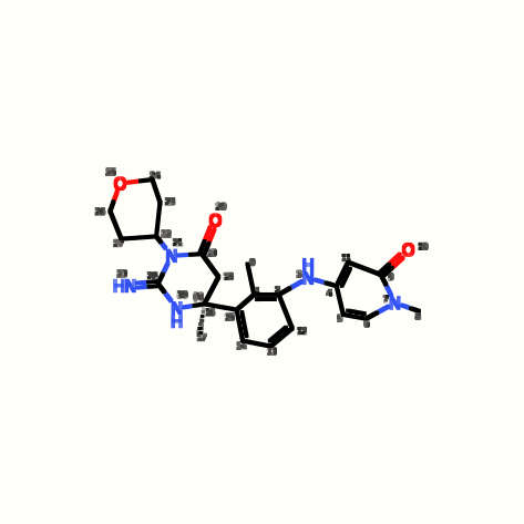 Cc1c(Nc2ccn(C)c(=O)c2)cccc1[C@]1(C)CC(=O)N(C2CCOCC2)C(=N)N1